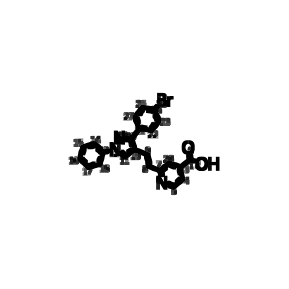 O=C(O)c1ccnc(C=Cc2cn(-c3ccccc3)nc2-c2ccc(Br)cc2)c1